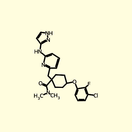 CN(C)C(=O)C1(Cc2cccc(Nc3cc[nH]n3)n2)CCC(Oc2cccc(Cl)c2F)CC1